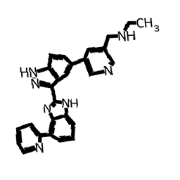 CCNCc1cncc(-c2ccc3[nH]nc(-c4nc5c(-c6ccccn6)cccc5[nH]4)c3c2)c1